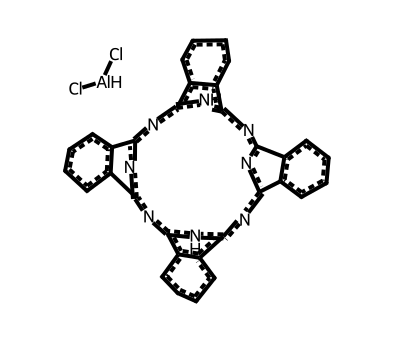 [Cl][AlH][Cl].c1ccc2c(c1)-c1nc-2nc2[nH]c(nc3nc(nc4[nH]c(n1)c1ccccc41)-c1ccccc1-3)c1ccccc21